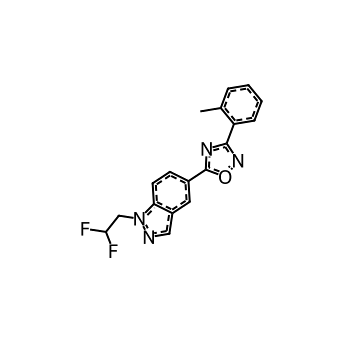 Cc1ccccc1-c1noc(-c2ccc3c(cnn3CC(F)F)c2)n1